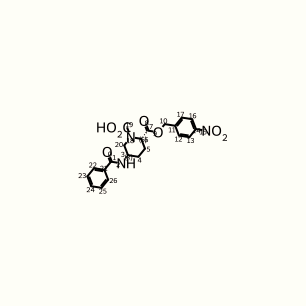 O=C(N[C@@H]1CC[C@@H](C(=O)OCc2ccc([N+](=O)[O-])cc2)N(C(=O)O)C1)c1ccccc1